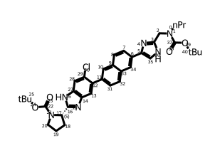 CCCN(Cc1nc(-c2ccc3cc(-c4cc5nc([C@@H]6CCCN6C(=O)OC(C)(C)C)[nH]c5cc4Cl)ccc3c2)c[nH]1)C(=O)OC(C)(C)C